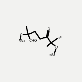 [CH2]CCC(C)(OCCCC)C(=O)CCC(C)(C=O)OCCCC